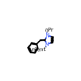 CCCCCN1C=CN(CCC)C1Cc1ccccc1